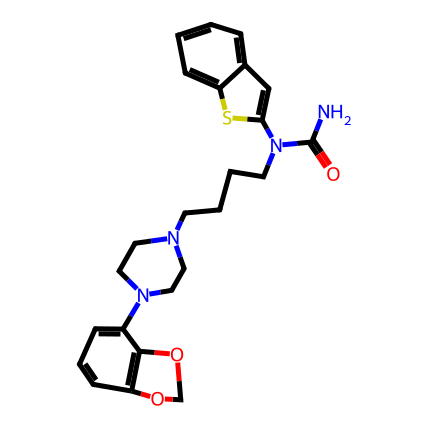 NC(=O)N(CCCCN1CCN(c2cccc3c2OCO3)CC1)c1cc2ccccc2s1